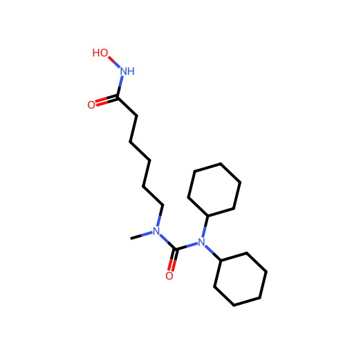 CN(CCCCCC(=O)NO)C(=O)N(C1CCCCC1)C1CCCCC1